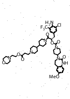 COc1ccc2c(c1)CCN(C1CCN(C(=O)O[C@H](Cc3cc(Cl)c(N)c(C(F)(F)F)c3)C(=O)N3CCC(C4CCN(CCC(=O)OCCN5CCOCC5)CC4)CC3)CC1)C(=O)N2